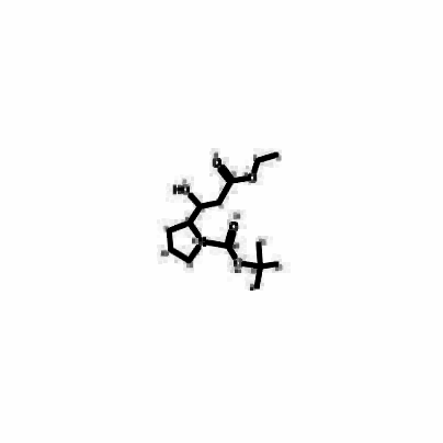 CCOC(=O)CC(O)C1CCCN1C(=O)OC(C)(C)C